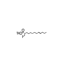 CCCCCCCCCCCC(CI)C(=O)O